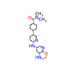 CN(C)C(=O)c1ccc(-c2ccc(Nc3cnc4c(c3)NCCO4)nc2)cc1